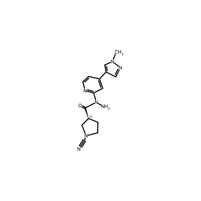 Cn1cc(-c2ccnc(N(N)C(=O)[C@H]3CCN(C#N)C3)c2)cn1